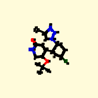 [2H]C([2H])([2H])Oc1c[nH]c(=O)cc1-c1cc(Cl)ccc1-n1cc(C(F)(F)F)nn1